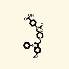 COc1ccc2c(CN3CCC4(CC3)CN(c3ccc(C(=O)O)cc3)C(=O)O4)cn(-c3ccccc3)c2c1